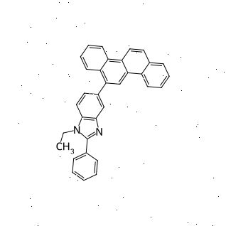 CCn1c(-c2ccccc2)nc2cc(-c3cc4c5ccccc5ccc4c4ccccc34)ccc21